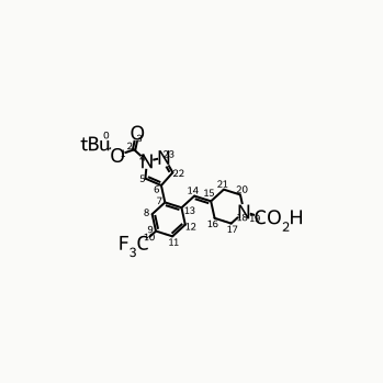 CC(C)(C)OC(=O)n1cc(-c2cc(C(F)(F)F)ccc2C=C2CCN(C(=O)O)CC2)cn1